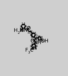 Nc1ccccc1NC(=O)C=Cc1ccc(C(C(=O)Nc2ccc(C(F)(F)F)nc2)N2CCC(O)C2)cc1